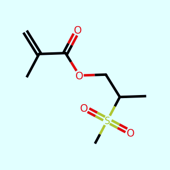 C=C(C)C(=O)OCC(C)S(C)(=O)=O